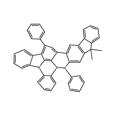 CC1(C)c2ccccc2-c2cc3c(cc21)N(c1ccccc1)B1c2ccccc2-n2c4ccccc4c4c(-c5ccccc5)cc-3c1c42